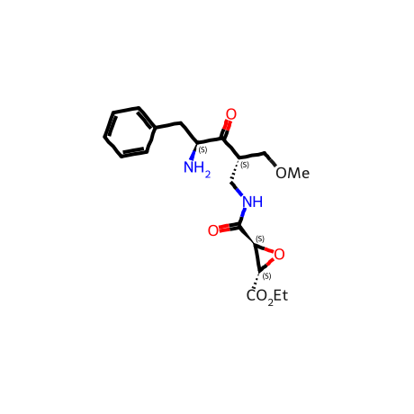 CCOC(=O)[C@H]1O[C@@H]1C(=O)NC[C@@H](COC)C(=O)[C@@H](N)Cc1ccccc1